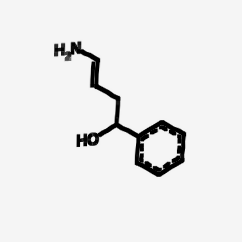 NC=CCC(O)c1ccccc1